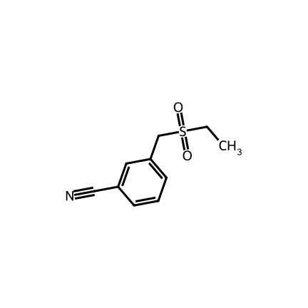 CCS(=O)(=O)Cc1cccc(C#N)c1